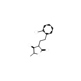 CC1SC(=O)C(CCc2ccccc2Cl)C1=O